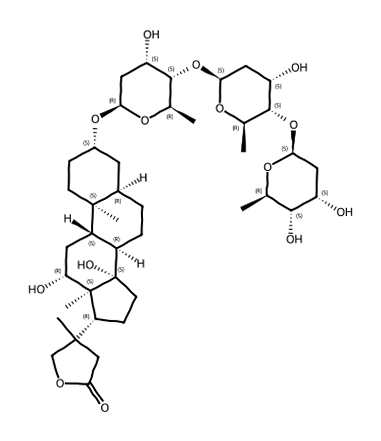 C[C@H]1O[C@@H](O[C@H]2[C@@H](O)C[C@H](O[C@H]3[C@@H](O)C[C@H](O[C@H]4CC[C@@]5(C)[C@H](CC[C@@H]6[C@@H]5C[C@@H](O)[C@]5(C)[C@@H](C7(C)COC(=O)C7)CC[C@]65O)C4)O[C@@H]3C)O[C@@H]2C)C[C@H](O)[C@@H]1O